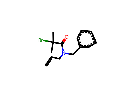 C=CCN(Cc1ccccc1)C(=O)C(C)(C)Br